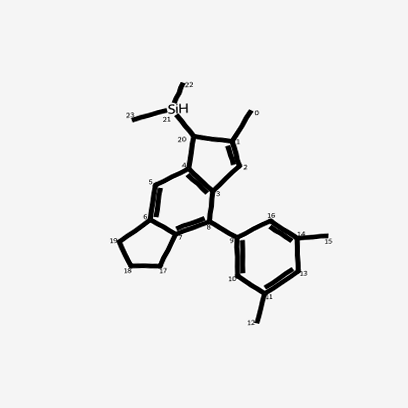 CC1=Cc2c(cc3c(c2-c2cc(C)cc(C)c2)CCC3)C1[SiH](C)C